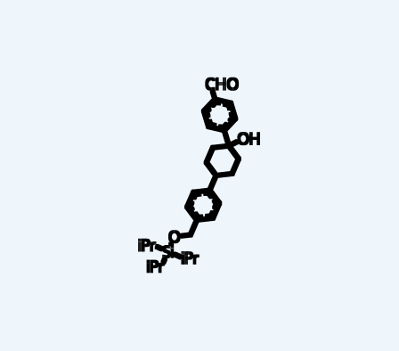 CC(C)[Si](OCc1ccc(C2CCC(O)(c3ccc(C=O)cc3)CC2)cc1)(C(C)C)C(C)C